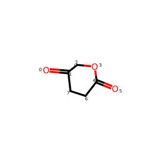 O=C1[CH]OC(=O)CC1